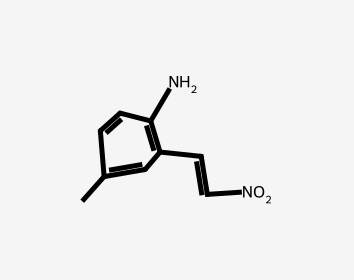 Cc1ccc(N)c(C=C[N+](=O)[O-])c1